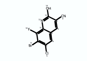 N#Cc1cc2cc(Cl)c(Br)c(F)c2nc1O